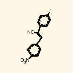 N#C/C(=C\c1ccc([N+](=O)[O-])cc1)c1ccc(Cl)cc1